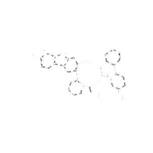 C=C1CC2C(CCc3cc4oc5nc(C)ccc5c4cc3-c3cccc[n+]31)c1ccccc1-c1ccc(C)c[n+]12